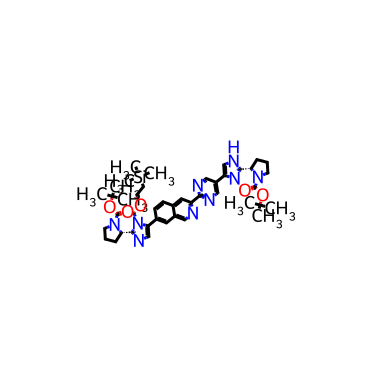 CC(C)(C)OC(=O)N1CCC[C@H]1c1nc(-c2cnc(-c3cc4ccc(-c5cnc([C@@H]6CCCN6C(=O)OC(C)(C)C)n5COCC[Si](C)(C)C)cc4cn3)nc2)c[nH]1